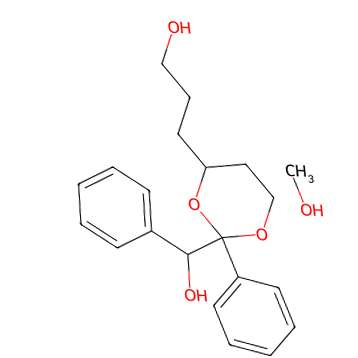 CO.OCCCC1CCOC(c2ccccc2)(C(O)c2ccccc2)O1